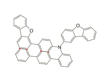 c1ccc(-c2ccc(-c3ccccc3N(c3ccc(-c4cccc5c4oc4ccccc45)cc3)c3ccc4oc5ccccc5c4c3)cc2)cc1